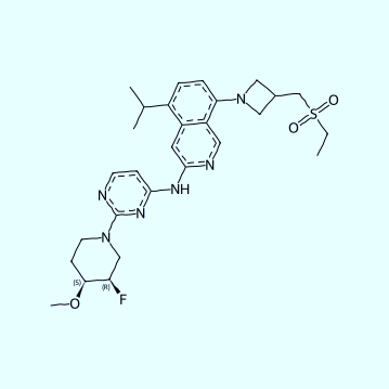 CCS(=O)(=O)CC1CN(c2ccc(C(C)C)c3cc(Nc4ccnc(N5CC[C@H](OC)[C@H](F)C5)n4)ncc23)C1